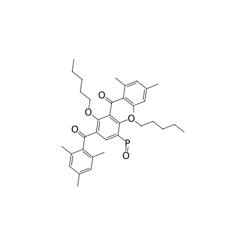 CCCCCOc1c(P=O)cc(C(=O)c2c(C)cc(C)cc2C)c(OCCCCC)c1C(=O)c1c(C)cc(C)cc1C